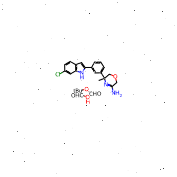 CC(C)(C)OC=O.CC1(c2cccc(-c3cc4ccc(Cl)cc4[nH]3)c2)COCC(N)=N1.O=CO